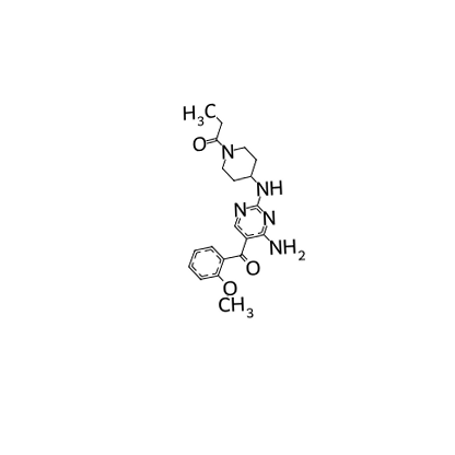 CCC(=O)N1CCC(Nc2ncc(C(=O)c3ccccc3OC)c(N)n2)CC1